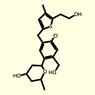 Cc1cc(Cc2cc(C3CC(O)CC(C)O3)c(CO)cc2Cl)sc1CCO